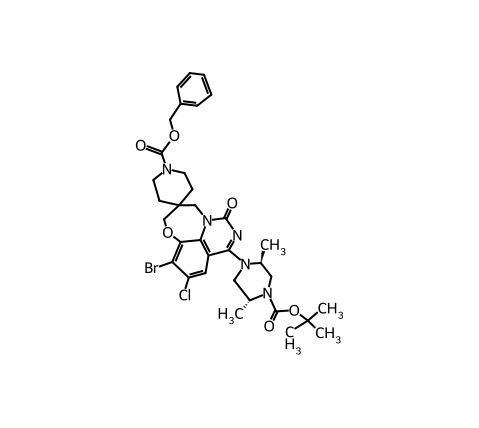 C[C@@H]1CN(c2nc(=O)n3c4c(c(Br)c(Cl)cc24)OCC2(CCN(C(=O)OCc4ccccc4)CC2)C3)[C@@H](C)CN1C(=O)OC(C)(C)C